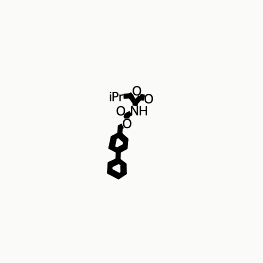 CC(C)C1OC(=O)C1NC(=O)OCc1ccc(-c2ccccc2)cc1